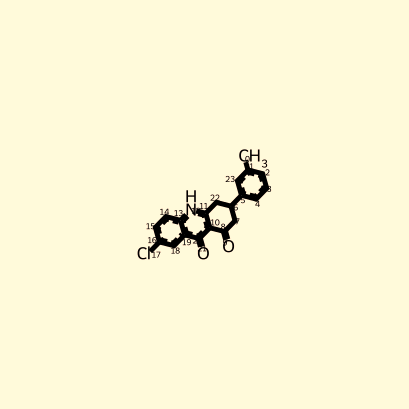 Cc1cccc(C2CC(=O)c3c([nH]c4ccc(Cl)cc4c3=O)C2)c1